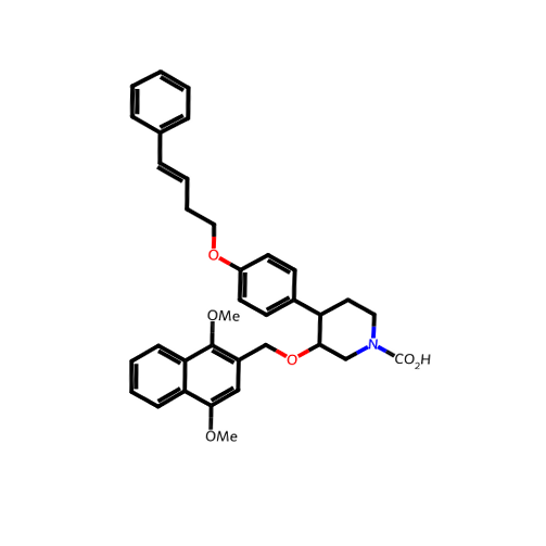 COc1cc(COC2CN(C(=O)O)CCC2c2ccc(OCC/C=C/c3ccccc3)cc2)c(OC)c2ccccc12